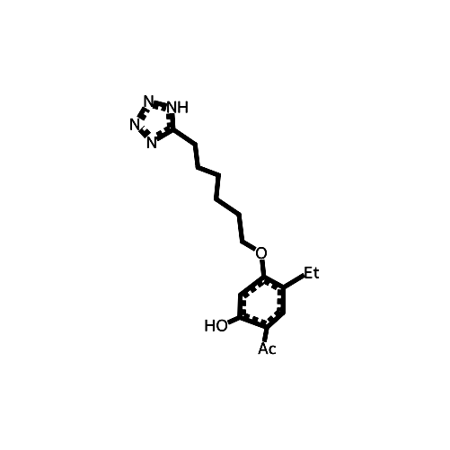 CCc1cc(C(C)=O)c(O)cc1OCCCCCCc1nnn[nH]1